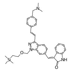 CN(C)Cc1ccc(/C=C/c2nn(COCC[Si](C)(C)C)c3cc(/C=C4/C(=O)Nc5ccccc54)ccc23)cc1